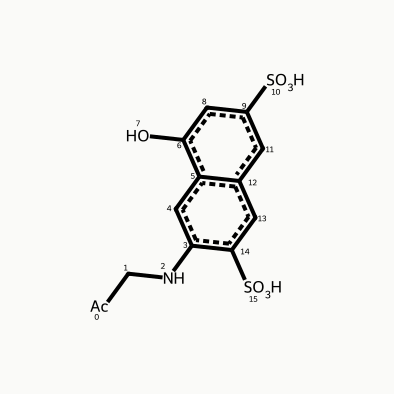 CC(=O)CNc1cc2c(O)cc(S(=O)(=O)O)cc2cc1S(=O)(=O)O